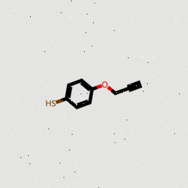 C#CCOc1ccc(S)cc1